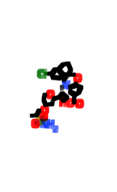 C[C@@H](CO[C@H]1CCO[C@@H]([C@@H]2CC[C@H]2CN2C[C@@]3(CCCc4cc(Cl)ccc43)COc3ccc(C(=O)O)cc32)C1)S(N)(=O)=O